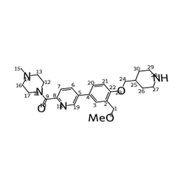 COCc1cc(-c2ccc(C(=O)N3CCN(C)CC3)nc2)ccc1OCC1CCNCC1